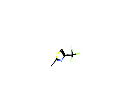 Cc1nc(C(F)(F)Cl)cs1